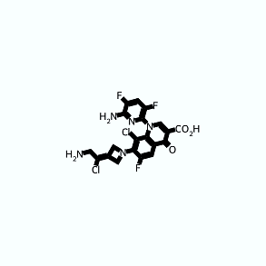 NCC(Cl)=C1CN(c2c(F)cc3c(=O)c(C(=O)O)cn(-c4nc(N)c(F)cc4F)c3c2Cl)C1